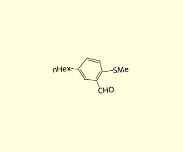 CCCCCCc1ccc(SC)c(C=O)c1